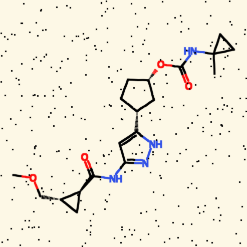 COC[C@H]1C[C@@H]1C(=O)Nc1cc([C@@H]2CC[C@H](OC(=O)NC3(C)CC3)C2)[nH]n1